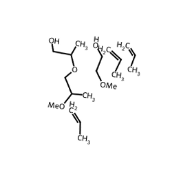 C=CC.C=CC.C=CC.COC(C)COC(C)CO.COCCO